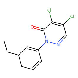 CCC1C=C(n2ncc(Cl)c(Cl)c2=O)C=CC1